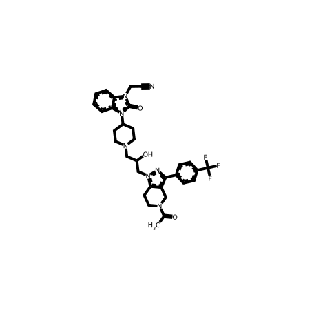 CC(=O)N1CCc2c(c(-c3ccc(C(F)(F)F)cc3)nn2CC(O)CN2CCC(n3c(=O)n(CC#N)c4ccccc43)CC2)C1